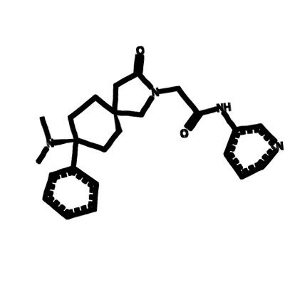 CN(C)[C@]1(c2ccccc2)CC[C@@]2(CC1)CC(=O)N(CC(=O)Nc1cccnc1)C2